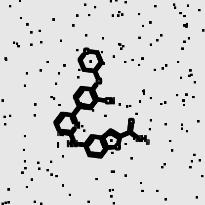 N#Cc1cc(-c2ccnc(Nc3ccc4oc(C(N)=O)cc4c3)n2)ccc1OC1CCOCC1